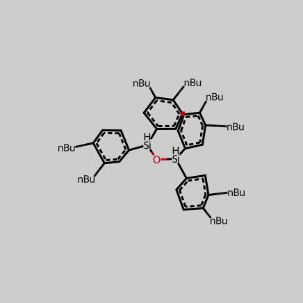 CCCCc1ccc([SiH](O[SiH](c2ccc(CCCC)c(CCCC)c2)c2ccc(CCCC)c(CCCC)c2)c2ccc(CCCC)c(CCCC)c2)cc1CCCC